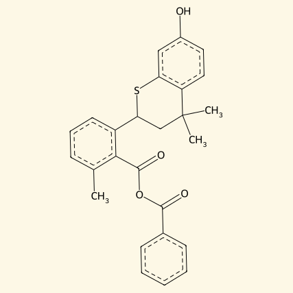 Cc1cccc(C2CC(C)(C)c3ccc(O)cc3S2)c1C(=O)OC(=O)c1ccccc1